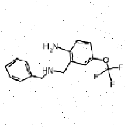 Nc1ccc(OC(F)(F)F)cc1CNCc1ccccc1